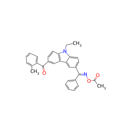 CCn1c2ccc(C(=O)c3ccccc3C)cc2c2cc(/C(=N/OC(C)=O)c3ccccc3)ccc21